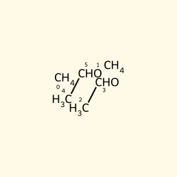 C.C.CC=O.CC=O